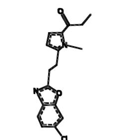 CCC(=O)c1ccc(CCc2nc3ccc(Cl)cc3o2)n1C